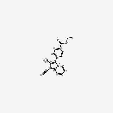 CCOC(=O)c1ccc(-c2c(N)c(C#N)c3ccccn23)cc1